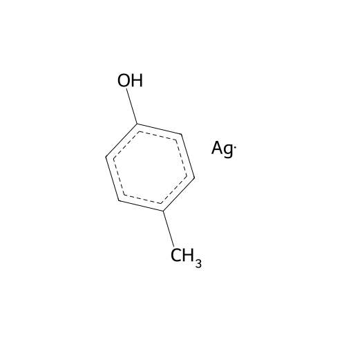 Cc1ccc(O)cc1.[Ag]